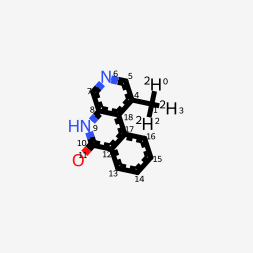 [2H]C([2H])([2H])c1cncc2[nH]c(=O)c3ccccc3c12